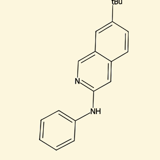 CC(C)(C)c1ccc2cc(Nc3ccccc3)ncc2c1